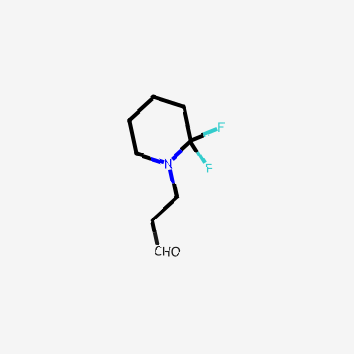 O=CCCN1CCCCC1(F)F